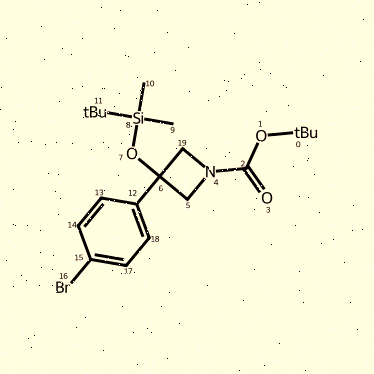 CC(C)(C)OC(=O)N1CC(O[Si](C)(C)C(C)(C)C)(c2ccc(Br)cc2)C1